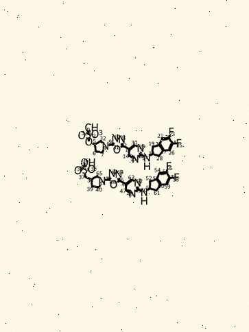 CS(=O)(=O)OC1CCN(c2nnc(-c3cnc(NC4Cc5cc(F)c(F)cc5C4)nc3)o2)C1.O=S(=O)(O)CC1CCN(c2nnc(-c3cnc(NC4Cc5cc(F)c(F)cc5C4)nc3)o2)C1